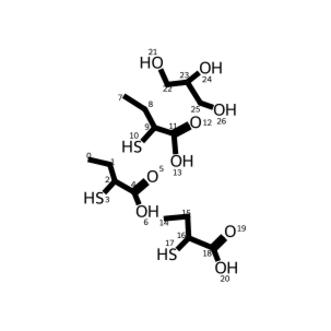 CCC(S)C(=O)O.CCC(S)C(=O)O.CCC(S)C(=O)O.OCC(O)CO